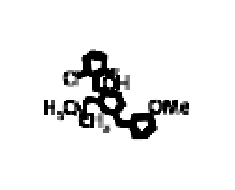 COc1cccc(CC2CCC(O)(Cc3c(F)cccc3Cl)C(CN(C)C)C2)c1